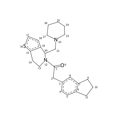 O=C(Cc1ccc2c(c1)CCC2)N1CCc2sccc2C1CN1CCCCC1